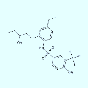 CCc1ccc(NS(=O)(=O)c2ccc(O)c(C(F)(F)F)c2)c(CCC(O)CC)c1